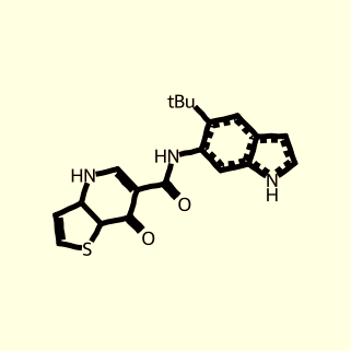 CC(C)(C)c1cc2cc[nH]c2cc1NC(=O)C1=CNC2C=CSC2C1=O